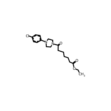 CCOC(=O)CCCCCC(=O)N1CCN(c2ccc(Cl)cc2)CC1